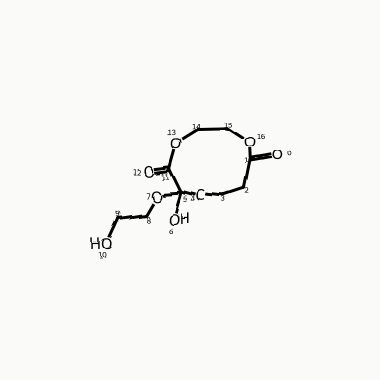 O=C1CCCC(O)(OCCO)C(=O)OCCO1